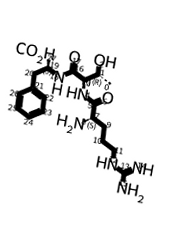 C[C@@H](O)[C@@H](NC(=O)[C@@H](N)CCCNC(=N)N)C(=O)N[C@@H](Cc1ccccc1)C(=O)O